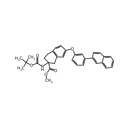 COC(=O)C1(NC(=O)OC(C)(C)C)CCc2ccc(Oc3cccc(-c4ccc5ccccc5c4)c3)cc2C1